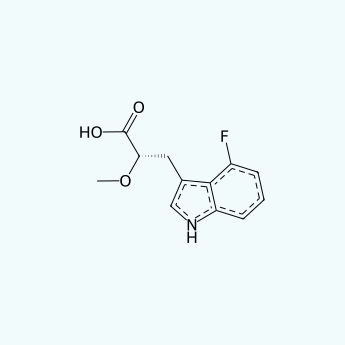 CO[C@@H](Cc1c[nH]c2cccc(F)c12)C(=O)O